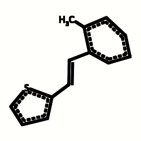 Cc1ccccc1C=Cc1cccs1